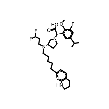 COc1c(F)cc(C(C)C)cc1[C@H](C(=O)O)N1CC[C@H](N(CCCCCc2ccc3c(n2)NCCC3)CCC(F)F)C1